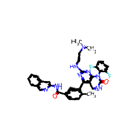 Cc1ccc(C(=O)Nc2cc3ccccc3cn2)cc1-c1nc(NCCN(C)C)nc2c1CNC(=O)N2c1c(F)cccc1F